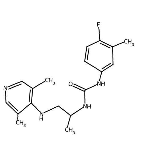 Cc1cc(NC(=O)NC(C)CNc2c(C)cncc2C)ccc1F